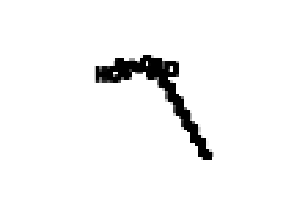 CCCCCCCCCCCCC(=O)C(C)(C)OCCC(C)(C)O